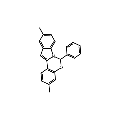 Cc1ccc2c(c1)OC(c1ccccc1)n1c-2cc2cc(C)ccc21